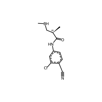 CBC[C@@H](C)C(=O)Nc1ccc(C#N)c(Cl)c1